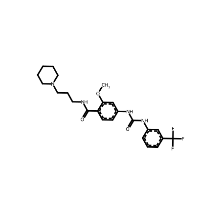 COc1cc(NC(=O)Nc2cccc(C(F)(F)F)c2)ccc1C(=O)NCCCN1CCCCC1